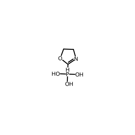 O[PH](O)(O)C1=NCCO1